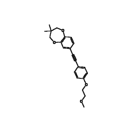 COCCOc1ccc(C#Cc2ccc3c(c2)OCC(C)(C)CO3)cc1